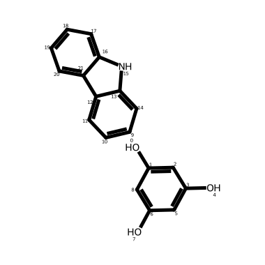 Oc1cc(O)cc(O)c1.c1ccc2c(c1)[nH]c1ccccc12